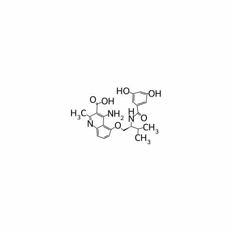 Cc1nc2cccc(OC[C@@H](NC(=O)c3cc(O)cc(O)c3)C(C)C)c2c(N)c1C(=O)O